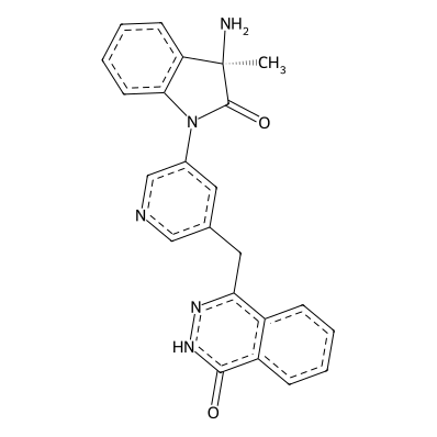 C[C@]1(N)C(=O)N(c2cncc(Cc3n[nH]c(=O)c4ccccc34)c2)c2ccccc21